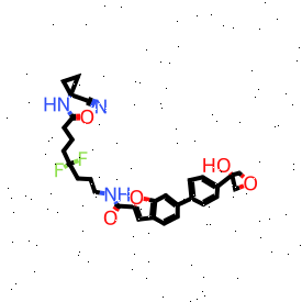 N#CC1(NC(=O)CCCC(F)(F)CCCNC(=O)c2cc3ccc(-c4ccc(C5(O)COC5)cc4)cc3o2)CC1